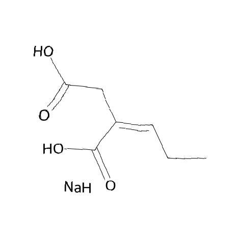 CCC=C(CC(=O)O)C(=O)O.[NaH]